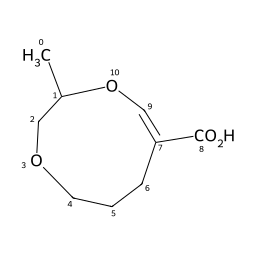 CC1COCCCC(C(=O)O)=CO1